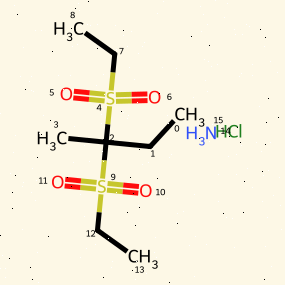 CCC(C)(S(=O)(=O)CC)S(=O)(=O)CC.Cl.N